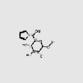 OC[C@H]1OC(OBr)[C@H](O)[C@@H](O)[C@@H]1O.c1cc[nH]c1